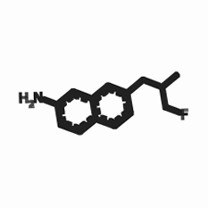 CC(CF)Cc1ccc2ccc(N)cc2c1